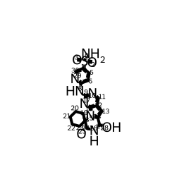 NS(=O)(=O)c1ccc(Nc2ncc3cc4n(c3n2)C2(CCCCC2)C(=O)NC4O)nc1